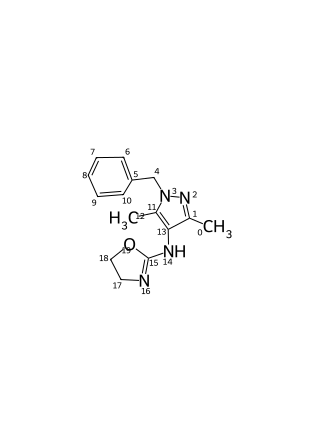 Cc1nn(Cc2ccccc2)c(C)c1NC1=NCCO1